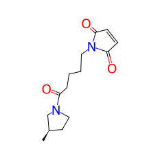 C[C@@H]1CCN(C(=O)CCCCN2C(=O)C=CC2=O)C1